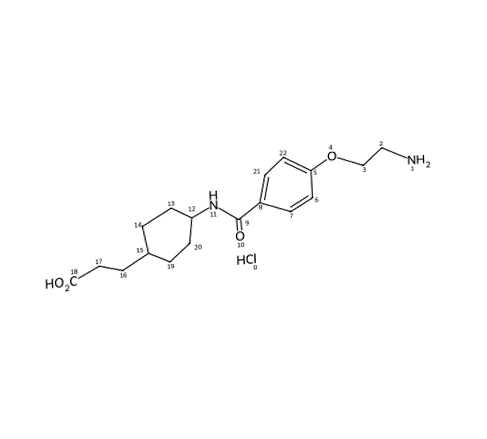 Cl.NCCOc1ccc(C(=O)NC2CCC(CCC(=O)O)CC2)cc1